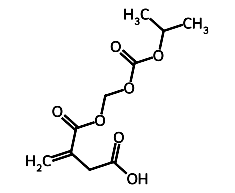 C=C(CC(=O)O)C(=O)OCOC(=O)OC(C)C